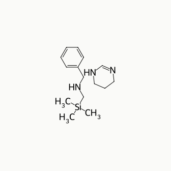 C1=NCCCN1.C[Si](C)(C)CNCc1ccccc1